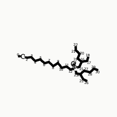 CCCCCCCCCCCCCP(=O)(CC(CC)CCCC)CC(CC)CCCC